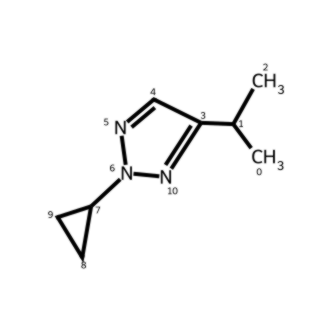 CC(C)c1cnn(C2CC2)n1